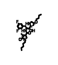 CCCCCN1CC(C(=O)N[C@@H](Cc2cc(F)cc(F)c2)[C@H](O)[C@H]2C[C@@H](OCCCC)CN2)N(C)C1=O